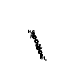 CCOc1ccc(C2CCC(COc3ccc(C4CCC(OCC)CC4)c(F)c3F)CC2)cc1F